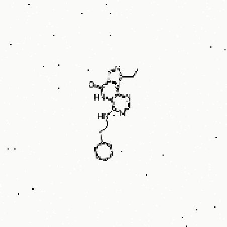 CCc1ncc2c(=O)[nH]c3c(NCCc4ccccc4)ncnc3n12